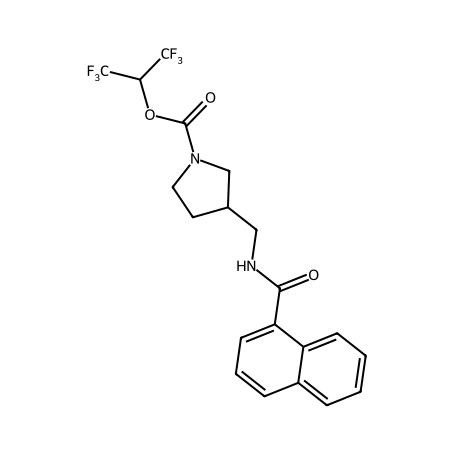 O=C(NCC1CCN(C(=O)OC(C(F)(F)F)C(F)(F)F)C1)c1cccc2ccccc12